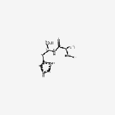 CC(NI)C(=O)N[C@@H](Cc1c[nH]cn1)C(=O)O